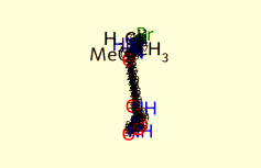 COc1cc2c(NC(C)c3cccc(Br)c3)nc(C)nc2cc1OCCCCCCCCCCCCCCCC(=O)NCc1scc2c1CN(C1CCC(=O)NC1=O)C2=O